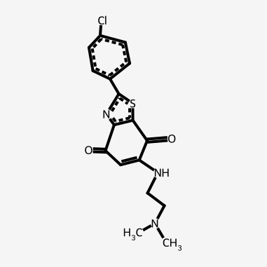 CN(C)CCNC1=CC(=O)c2nc(-c3ccc(Cl)cc3)sc2C1=O